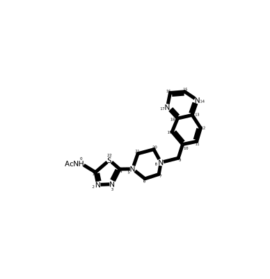 CC(=O)Nc1nnc(N2CCN(Cc3ccc4nccnc4c3)CC2)s1